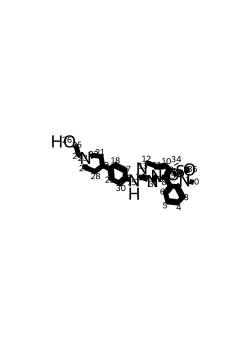 CN(c1ccccc1-c1ccc2cnc(Nc3ccc(C4CCN(CCO)CC4)cc3)nn12)S(C)(=O)=O